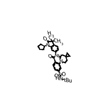 CC(C)(C)NS(=O)(=O)c1ccc(C(=O)Nc2ccc3c(c2)N(C2CCCC2)C(=O)C3(C)C)c(N2CCC3(CC2)CC3)c1